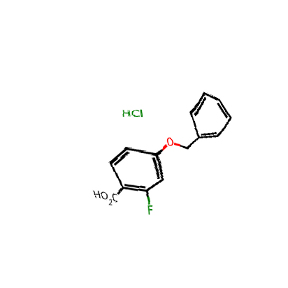 Cl.O=C(O)c1ccc(OCc2ccccc2)cc1F